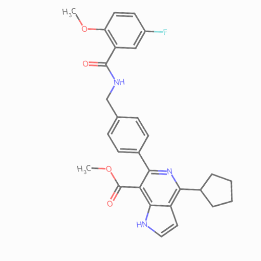 COC(=O)c1c(-c2ccc(CNC(=O)c3cc(F)ccc3OC)cc2)nc(C2CCCC2)c2cc[nH]c12